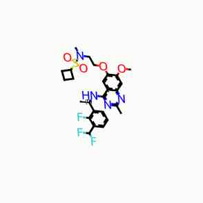 COc1cc2nc(C)nc(N[C@H](C)c3cccc(C(F)F)c3F)c2cc1OCCN(C)S(=O)(=O)C1CCC1